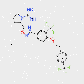 N=C(N)N1CCCC1c1nc(-c2ccc(OCCc3ccc(C(F)(F)F)cc3)c(C(F)(F)F)c2)no1